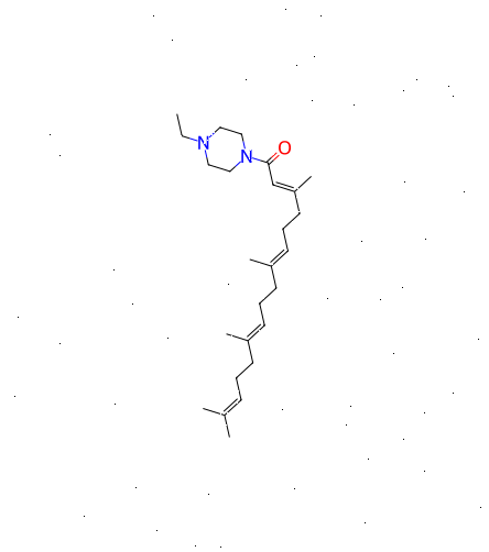 CCN1CCN(C(=O)/C=C(\C)CC/C=C(\C)CC/C=C(\C)CCC=C(C)C)CC1